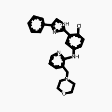 Clc1ccc(Nc2ncccc2CN2CCOCC2)cc1-c1nc(-c2ccccc2)c[nH]1